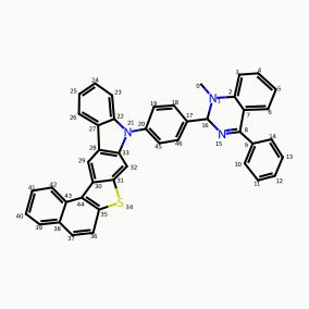 CN1c2ccccc2C(c2ccccc2)=NC1c1ccc(-n2c3ccccc3c3cc4c(cc32)sc2ccc3ccccc3c24)cc1